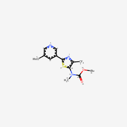 COc1cncc(-c2nc(C(F)(F)F)c(N(C)C(=O)OC(C)(C)C)s2)c1